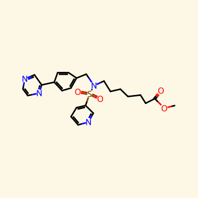 COC(=O)CCCCCCN(Cc1ccc(-c2cnccn2)cc1)S(=O)(=O)c1cccnc1